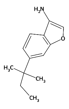 CCC(C)(C)c1ccc2c(N)coc2c1